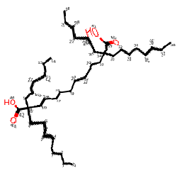 CCCCCCCCC(CCCCCC)(CCCCCCCCCC(CCCCCC)(CCCCCCCC)C(=O)O)C(=O)O